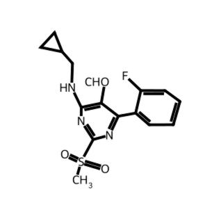 CS(=O)(=O)c1nc(NCC2CC2)c(C=O)c(-c2ccccc2F)n1